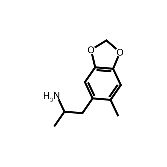 Cc1cc2c(cc1CC(C)N)OCO2